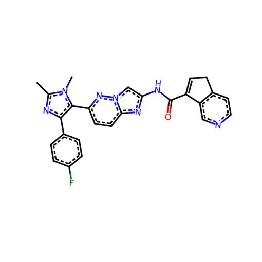 Cc1nc(-c2ccc(F)cc2)c(-c2ccc3nc(NC(=O)C4=CCc5ccncc54)cn3n2)n1C